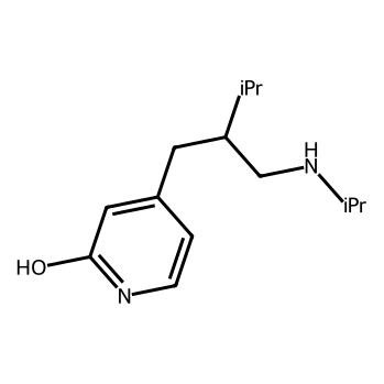 CC(C)NCC(Cc1ccnc(O)c1)C(C)C